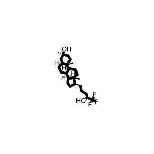 C[C@]1(O)CC[C@@]2(C)[C@@H](CC[C@@H]3[C@@H]2CC[C@]2(C)[C@@H](CCCC(O)C(F)(F)F)CC[C@@H]32)C1